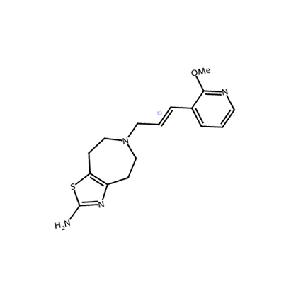 COc1ncccc1/C=C/CN1CCc2nc(N)sc2CC1